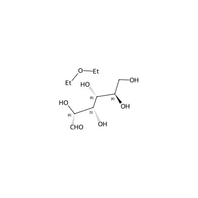 CCOCC.O=C[C@H](O)[C@@H](O)[C@H](O)[C@H](O)CO